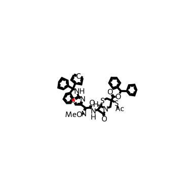 CON=C(C(=O)NC1C(=O)N2CC(SC(C)=O)(C(=O)OC(c3ccccc3)c3ccccc3)CS[C@H]12)c1csc(NC(c2ccccc2)(c2ccccc2)c2ccccc2)n1